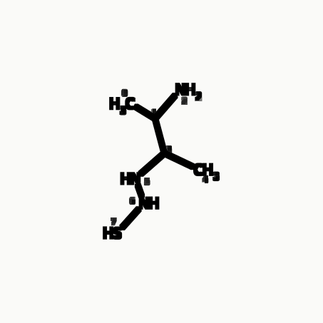 CC(N)C(C)NNS